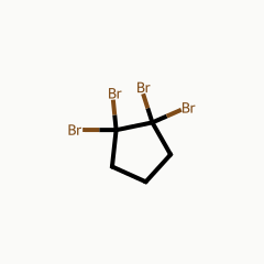 BrC1(Br)CCCC1(Br)Br